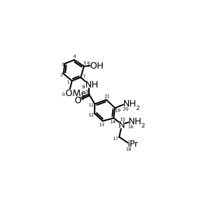 COc1cccc(O)c1NC(=O)c1ccc(N(N)CC(C)C)c(N)c1